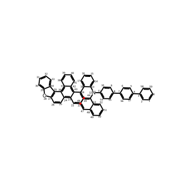 c1ccc(-c2ccc(-c3ccc(N(c4ccccc4-c4cccc5c6ccc7oc8ccccc8c7c6c6ccccc6c45)c4cccc5ccccc45)cc3)cc2)cc1